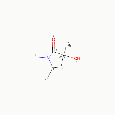 CC1C[C@@](O)(C(C)(C)C)C(=O)N1C